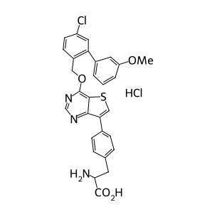 COc1cccc(-c2cc(Cl)ccc2COc2ncnc3c(-c4ccc(CC(N)C(=O)O)cc4)csc23)c1.Cl